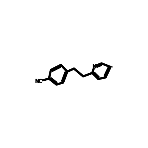 N#Cc1ccc(CCc2cc[c]cn2)cc1